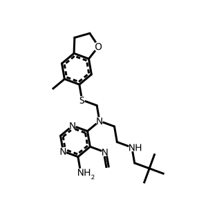 C=Nc1c(N)ncnc1N(CCNCC(C)(C)C)CSc1cc2c(cc1C)CCO2